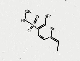 C\C=C(Br)/C=C\C(=C\CCC)S(=O)(=O)NC(C)(C)C